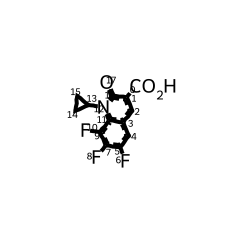 O=C(O)c1cc2cc(F)c(F)c(F)c2n(C2CC2)c1=O